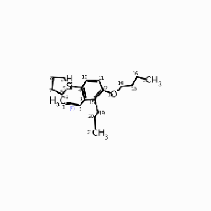 C/C=C\c1c([SiH]2CCCC2)ccc(OCCCC)c1CCC